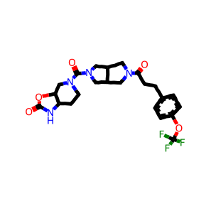 O=C1NC2CCN(C(=O)N3CC4CN(C(=O)CCc5ccc(OC(F)(F)F)cc5)CC4C3)CC2O1